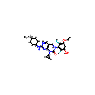 CCOc1cc(O)c(F)c(N2Cc3cnc(NC4CCC([AsH2])CC4)nc3N(C3CC3)C2=O)c1F